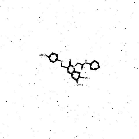 COc1ccc(NCc2cc3cc(OC)c(OC)cc3n(CC(=O)Nc3ccccc3)c2=O)cc1